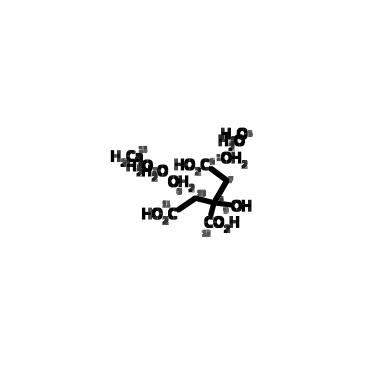 O.O.O.O.O.O.O=C(O)CC(O)(CC(=O)O)C(=O)O.[CaH2]